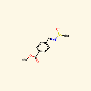 CC(C)(C)OC(=O)c1ccc(/C=N/[S@@+]([O-])C(C)(C)C)cc1